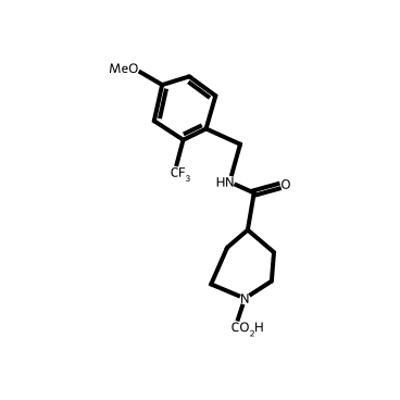 COc1ccc(CNC(=O)C2CCN(C(=O)O)CC2)c(C(F)(F)F)c1